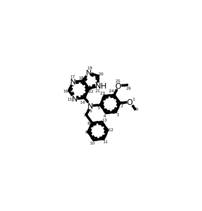 COc1ccc(N(Cc2ccccc2)c2ncnc3nc[nH]c23)cc1OC